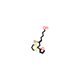 OCCCC/C=C(\Br)CC1(c2ccco2)SCCCS1